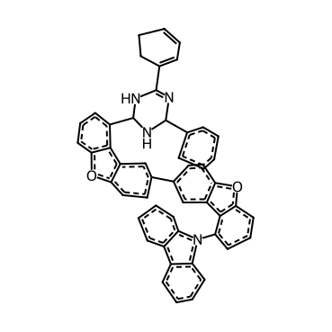 C1=CCCC(C2=NC(c3ccccc3)NC(c3cccc4oc5ccc(-c6ccc7oc8cccc(-n9c%10ccccc%10c%10ccccc%109)c8c7c6)cc5c34)N2)=C1